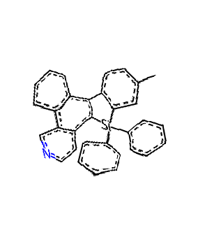 Cc1ccc2c(c1)[Si](c1ccccc1)(c1ccccc1)c1c-2c2ccccc2c2cnccc12